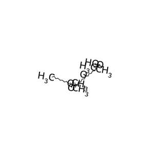 CCCCCCCCCOC(=O)C(C)(C)CCCCCC(=O)CCCCCC(C)(C)C(=O)O